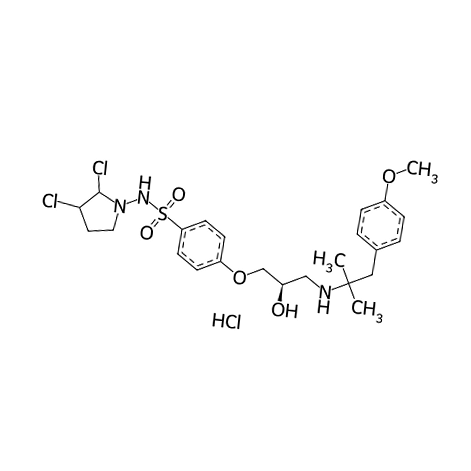 COc1ccc(CC(C)(C)NC[C@@H](O)COc2ccc(S(=O)(=O)NN3CCC(Cl)C3Cl)cc2)cc1.Cl